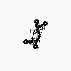 CC(C)(CNC(=O)CC(Cc1cc(F)ccc1F)NC(=O)OCc1ccccc1)CNC(=O)C(O)C(COCC1=CC=CCC1)NC(=O)OCc1ccccc1